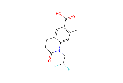 Cc1cc2c(cc1C(=O)O)CCC(=O)N2CC(F)F